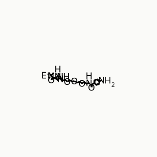 CCN(C)C(=O)C1=CN(CCOCCOCCOCCNC(=O)c2ccc(N)cc2)NN1